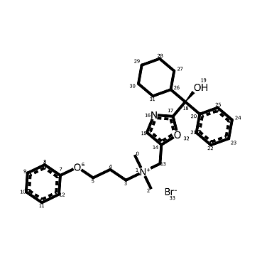 C[N+](C)(CCCOc1ccccc1)Cc1cnc([C@@](O)(c2ccccc2)C2CCCCC2)o1.[Br-]